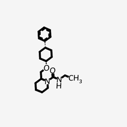 CCNC(=O)N1CCCCC1CO[C@H]1CC[C@@H](c2ccccc2)CC1